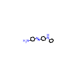 Nc1ccc(/N=N/c2ccc(Nc3ccccc3)cc2)cc1